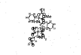 CCC(=O)OC(NC(=O)C(Cc1ccccc1)CC(C(N)CCS(C)(=O)=O)([SH](=O)=O)[SH](=O)=O)(C(=O)OC)c1ccccc1